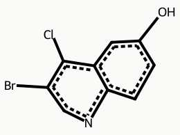 Oc1ccc2ncc(Br)c(Cl)c2c1